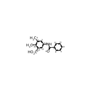 Cc1cc(NC(=O)c2ccccc2)cc(C(=O)O)c1C